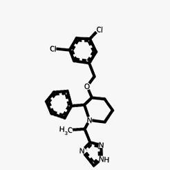 CC(c1nc[nH]n1)N1CCCC(OCc2cc(Cl)cc(Cl)c2)C1c1ccccc1